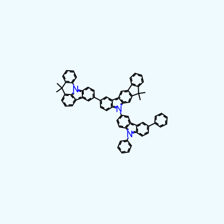 CC1(C)c2ccccc2-c2cc3c4cc(-c5ccc6c(c5)c5cccc7c5n6-c5ccccc5C7(C)C)ccc4n(-c4ccc5c(c4)c4cc(-c6ccccc6)ccc4n5-c4ccccc4)c3cc21